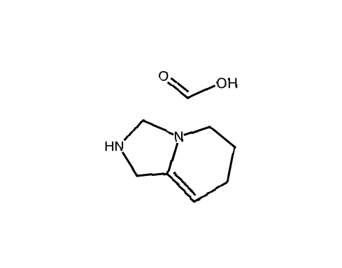 C1=C2CNCN2CCC1.O=CO